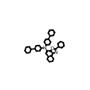 c1ccc(-c2ccc(N(c3ccc(-c4ccccc4)cc3)c3cc4ccccc4c4nc(-c5ccccc5)oc34)cc2)cc1